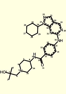 CC(C)(O)CN1CCC(NC(=O)c2ccc(Nc3ncc4cnn(C5CCCCC5)c4n3)cc2)CC1